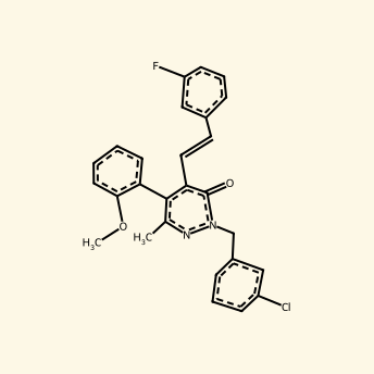 COc1ccccc1-c1c(C)nn(Cc2cccc(Cl)c2)c(=O)c1/C=C/c1cccc(F)c1